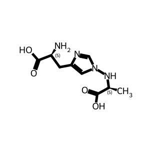 C[C@H](Nn1cnc(C[C@H](N)C(=O)O)c1)C(=O)O